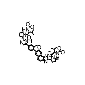 COC(=O)N[C@H](C(=O)N1C(c2nc3ccc4cc5c(cc4c3[nH]2)OCc2cc(-c3cnc([C@@H]4CC[C@H](C)N4C(=O)[C@@H](NC(=O)OC)C(C)C)[nH]3)ccc2-5)CC[C@@H]1C)C(C)C